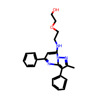 Cc1nn2c(NCCOCCO)cc(-c3ccccc3)nc2c1-c1ccccc1